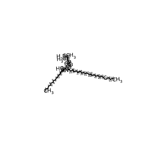 CCCCCCCCCCCCC=CC[C@@H](O)[C@H](COP(=O)([O-])OCC[N+](C)(C)C)NC(=O)CC=CCC=CCCCCCCCCCCCCCCCCCCC